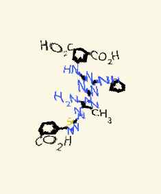 Cc1nn(-c2nc(Nc3ccccc3)nc(Nc3cc(C(=O)O)cc(C(=O)O)c3)n2)c(N)c1/N=N/c1nnc(-c2cccc(C(=O)O)c2)s1